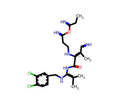 CCC(=N)OC(=N)CCN/C(C(=O)NC(NCc1ccc(Cl)c(Cl)c1)=C(C)C)=C(/C)C=N